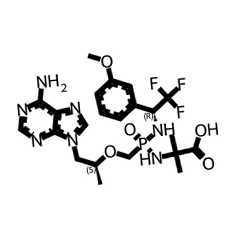 COc1cccc([C@@H](NP(=O)(CO[C@@H](C)Cn2cnc3c(N)ncnc32)NC(C)(C)C(=O)O)C(F)(F)F)c1